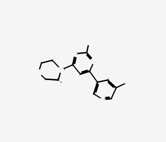 C[C@H]1COCCN1c1cc(-c2cncc(F)c2)nc(Cl)n1